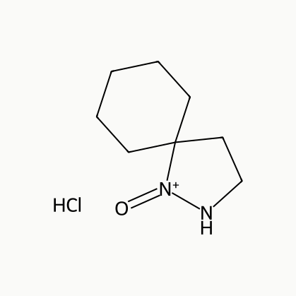 Cl.O=[N+]1NCCC12CCCCC2